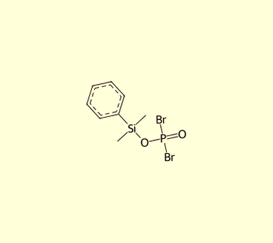 C[Si](C)(OP(=O)(Br)Br)c1ccccc1